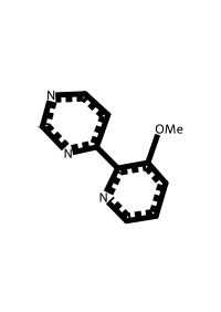 COc1cccnc1-c1ccn[c]n1